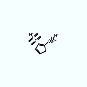 C=C=C.C=C=C.[H-].[H-].[H-].[Os+3][C]1=CC=CC1